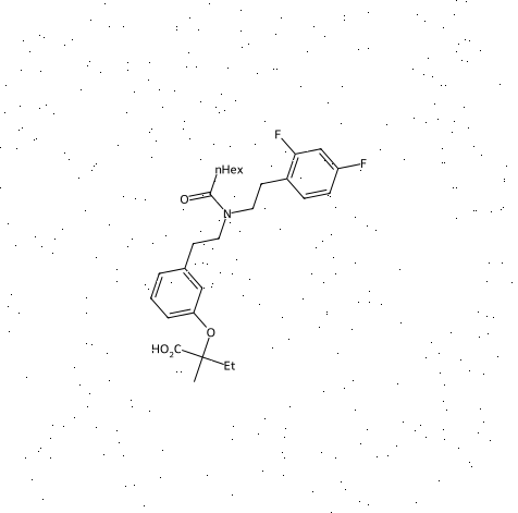 CCCCCCC(=O)N(CCc1cccc(OC(C)(CC)C(=O)O)c1)CCc1ccc(F)cc1F